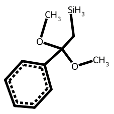 COC(C[SiH3])(OC)c1ccccc1